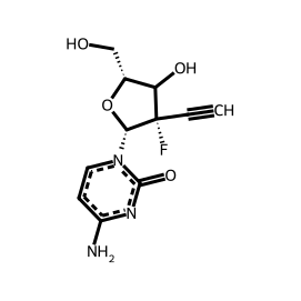 C#C[C@]1(F)C(O)[C@@H](CO)O[C@H]1n1ccc(N)nc1=O